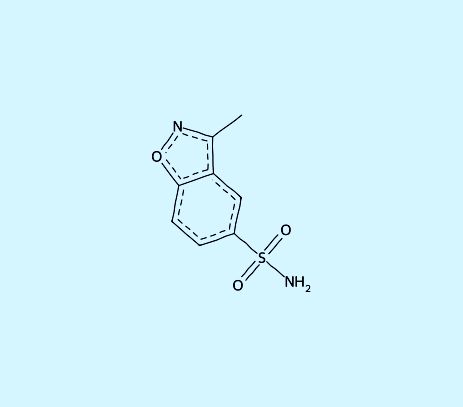 Cc1noc2ccc(S(N)(=O)=O)cc12